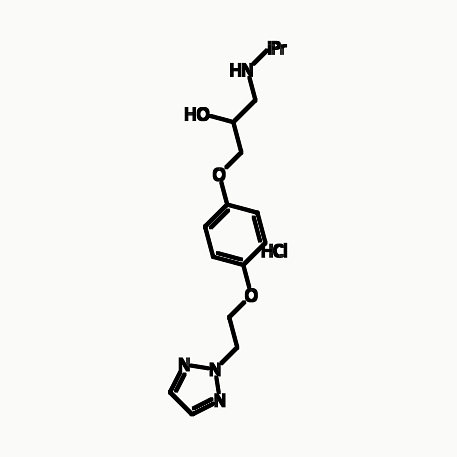 CC(C)NCC(O)COc1ccc(OCCn2nccn2)cc1.Cl